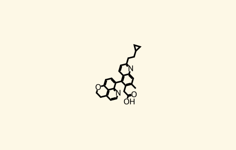 Cc1cc2nc(CCC3CC3)ccc2c(-c2ccc3c4c(ccnc24)CCO3)c1CC(=O)O